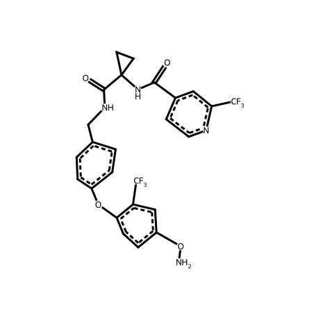 NOc1ccc(Oc2ccc(CNC(=O)C3(NC(=O)c4ccnc(C(F)(F)F)c4)CC3)cc2)c(C(F)(F)F)c1